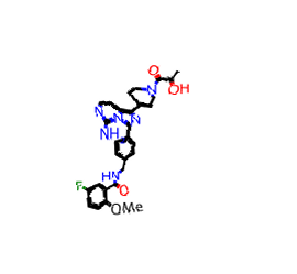 COc1ccc(F)cc1C(=O)NCc1ccc(-c2nc(C3=CCN(C(=O)[C@@H](C)O)CC3)c3ccnc(N)n23)cc1